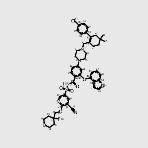 CC1(C)CCC(CN2CCN(c3ccc(C(=O)NS(=O)(=O)c4cnc(OCC5(F)CCOCC5)c(C#N)c4)c(Oc4cccc5[nH]ccc45)c3)CC2)=C(c2ccc(Cl)cc2)C1